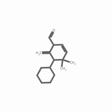 C=C1C(C=O)C=CC(C)(C)C1C1CCCCC1